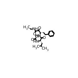 CCNC(=O)C(=O)[C@H](CCc1ccccc1)NC(=O)[C@H](CC(C)C)NC(=O)O